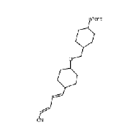 CCCCCC1CCC(COC2CCC(C=CC=CC#N)CC2)CC1